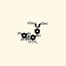 CCCCCCCCCCCCN(CCCCCCCCCCCC)c1ccc(Nc2ccc(NS(=O)(=O)c3c(C(C)C)cc(C(C)C)cc3C(C)C)c(C)c2)cc1